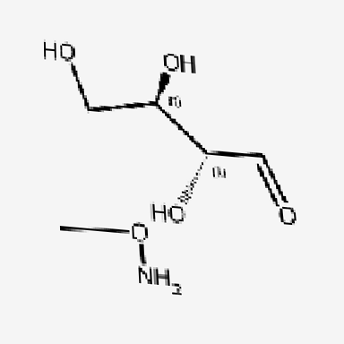 CON.O=C[C@H](O)[C@H](O)CO